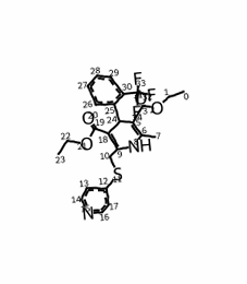 CCOC(=O)C1=C(C)NC(CSc2ccncc2)=C(C(=O)OCC)C1c1ccccc1C(F)(F)F